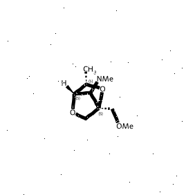 CNC1[C@@H]2OC[C@]1(COC)O[C@H]2C